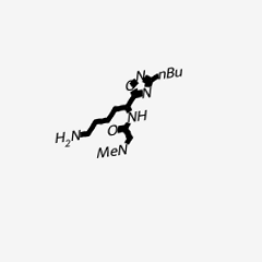 CCCCc1noc(C(CCCCN)NC(=O)CNC)n1